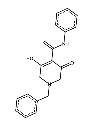 C=C(Nc1ccccc1)C1=C(O)CN(Cc2ccccc2)CC1=O